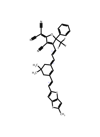 Cc1cc2sc(/C=C/C3=CC(=C/C=C/C4=C(C#N)C(=C(C#N)C#N)OC4(c4ccccc4)C(F)(F)F)/CC(C)(C)C3)cc2s1